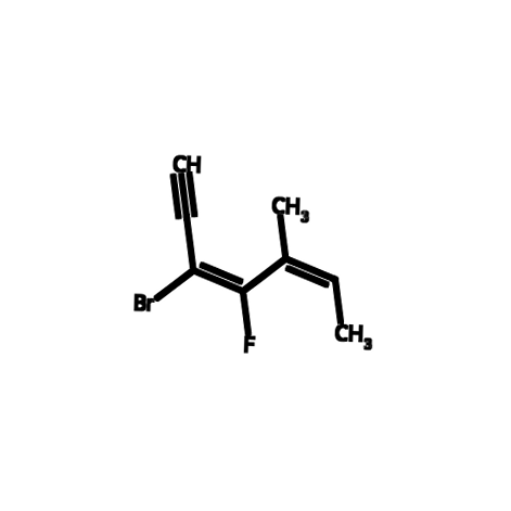 C#C/C(Br)=C(F)\C(C)=C/C